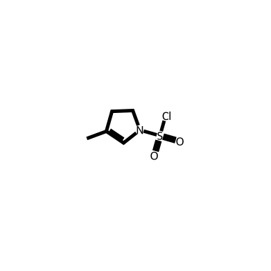 CC1=CN(S(=O)(=O)Cl)CC1